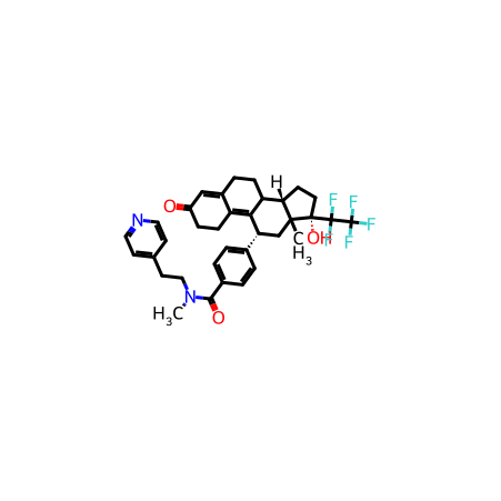 CN(CCc1ccncc1)C(=O)c1ccc([C@H]2CC3(C)[C@@H](CC[C@@]3(O)C(F)(F)C(F)(F)F)C3CCC4=CC(=O)CCC4=C32)cc1